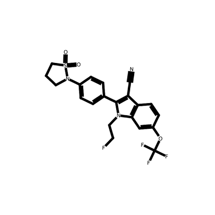 N#Cc1c(-c2ccc(N3CCCS3(=O)=O)cc2)n(CCF)c2cc(OC(F)(F)F)ccc12